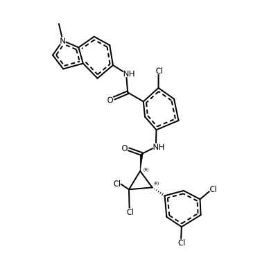 Cn1ccc2cc(NC(=O)c3cc(NC(=O)[C@H]4[C@H](c5cc(Cl)cc(Cl)c5)C4(Cl)Cl)ccc3Cl)ccc21